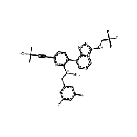 CC(C)(O)C#Cc1ccc(-c2cccn3c(NCC(F)(F)F)nnc23)c([C@@H](N)Cc2cc(F)cc(F)c2)n1